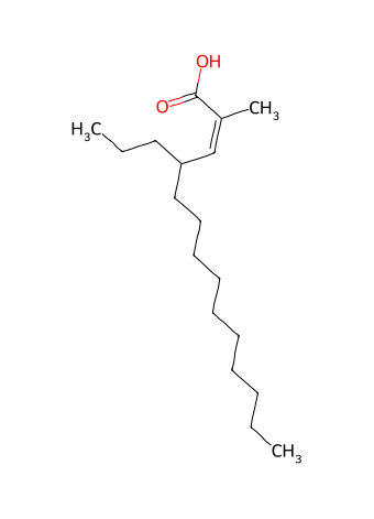 CCCCCCCCCCC(C=C(C)C(=O)O)CCC